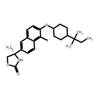 CCC(C)(C)C1CCC(Oc2ccc3cc([C@]4(C)COC(=O)N4)ccc3c2I)CC1